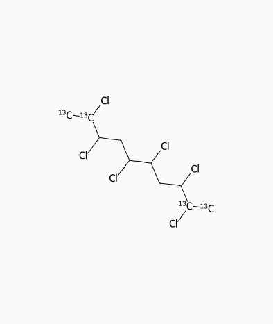 [13CH3][13CH](Cl)C(Cl)CC(Cl)C(Cl)CC(Cl)[13CH]([13CH3])Cl